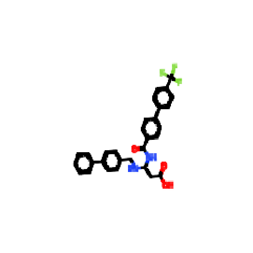 O=C(O)CC(NCc1ccc(-c2ccccc2)cc1)NC(=O)c1ccc(-c2ccc(C(F)(F)F)cc2)cc1